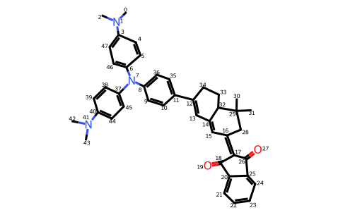 CN(C)c1ccc(N(c2ccc(C3=CC4=CC(=C5C(=O)c6ccccc6C5=O)CC(C)(C)C4CC3)cc2)c2ccc(N(C)C)cc2)cc1